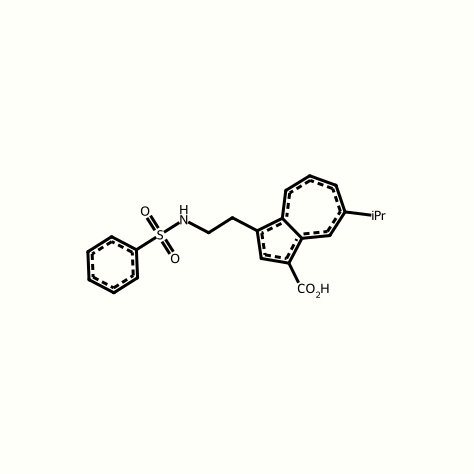 CC(C)c1cccc2c(CCNS(=O)(=O)c3ccccc3)cc(C(=O)O)c-2c1